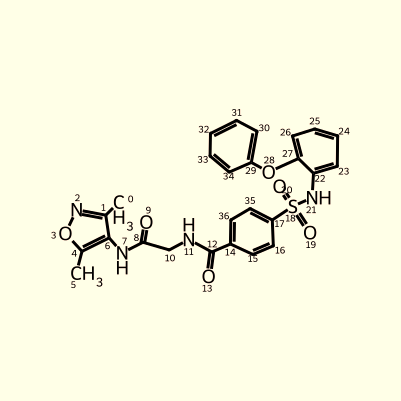 Cc1noc(C)c1NC(=O)CNC(=O)c1ccc(S(=O)(=O)Nc2ccccc2Oc2ccccc2)cc1